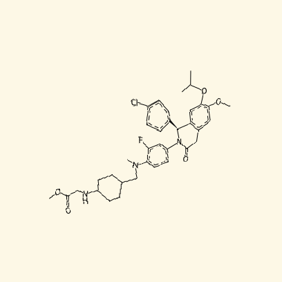 COC(=O)CNC1CCC(CN(C)c2ccc(N3C(=O)Cc4cc(OC)c(OC(C)C)cc4[C@@H]3c3ccc(Cl)cc3)cc2F)CC1